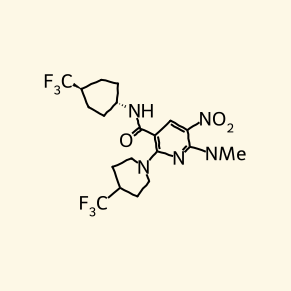 CNc1nc(N2CCC(C(F)(F)F)CC2)c(C(=O)N[C@H]2CC[C@H](C(F)(F)F)CC2)cc1[N+](=O)[O-]